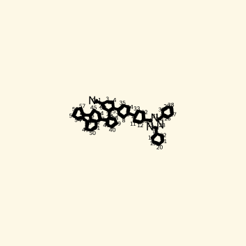 N#Cc1ccc(-c2ccc(-c3ccc(-c4nc(-c5ccccc5)nc(-c5ccccc5)n4)cc3)cc2)c(-c2ccccc2-c2ccc3c4c(cccc24)-c2ccccc2-3)c1